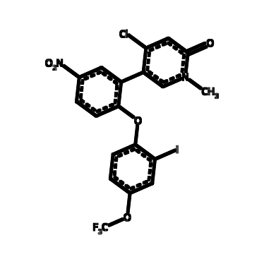 Cn1cc(-c2cc([N+](=O)[O-])ccc2Oc2ccc(OC(F)(F)F)cc2I)c(Cl)cc1=O